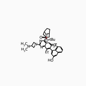 CCc1c(-c2cc(O)cc3cccc(C)c23)c(Cl)cc2c(N3CC4CCC(C3)N4C(=O)OC(C)(C)C)nc(N3CC(N(C)C)C3)nc12